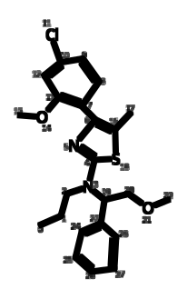 CCCN(c1nc(-c2ccc(Cl)cc2OC)c(C)s1)C(COC)c1ccccc1